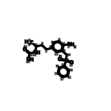 CC(CCc1ccc(N)c(CS(=O)(=O)c2ccccc2)c1)NC(=O)O